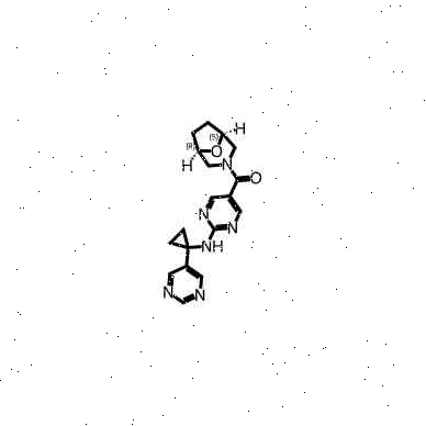 O=C(c1cnc(NC2(c3cncnc3)CC2)nc1)N1C[C@H]2CC[C@@H](C1)O2